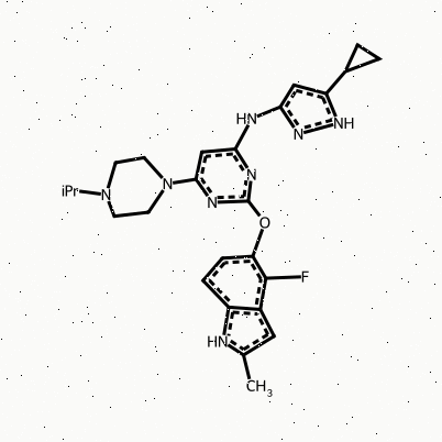 Cc1cc2c(F)c(Oc3nc(Nc4cc(C5CC5)[nH]n4)cc(N4CCN(C(C)C)CC4)n3)ccc2[nH]1